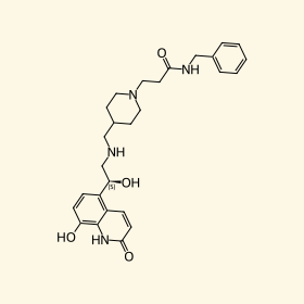 O=C(CCN1CCC(CNC[C@@H](O)c2ccc(O)c3[nH]c(=O)ccc23)CC1)NCc1ccccc1